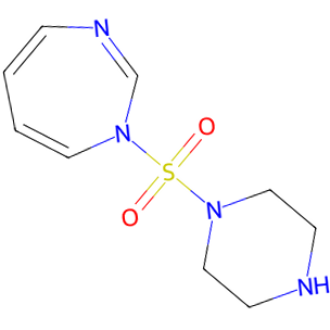 O=S(=O)(N1C=CC=CN=C1)N1CCNCC1